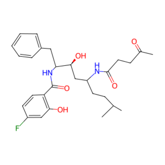 CC(=O)CCC(=O)NC(CCC(C)C)C[C@H](O)C(Cc1ccccc1)NC(=O)c1ccc(F)cc1O